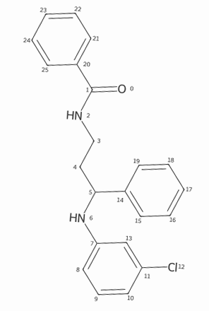 O=C(NCCC(Nc1cccc(Cl)c1)c1ccccc1)c1ccccc1